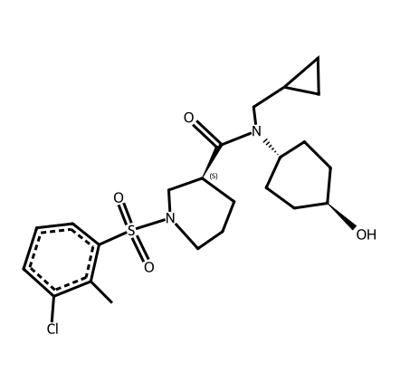 Cc1c(Cl)cccc1S(=O)(=O)N1CCC[C@H](C(=O)N(CC2CC2)[C@H]2CC[C@H](O)CC2)C1